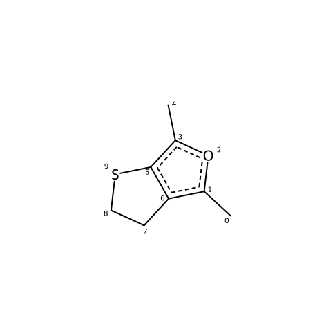 Cc1oc(C)c2c1CCS2